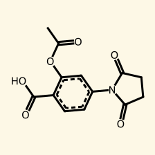 CC(=O)Oc1cc(N2C(=O)CCC2=O)ccc1C(=O)O